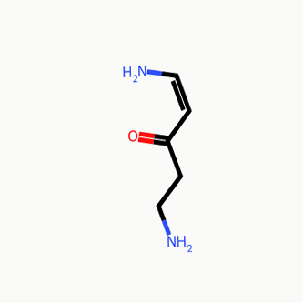 N/C=C\C(=O)CCN